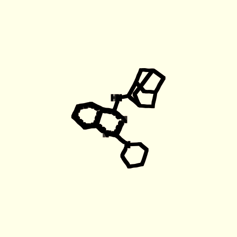 c1ccc2c(NC3C4CC5CC(C4)CC3C5)nc(N3CCCCC3)nc2c1